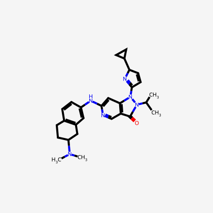 CC(C)n1c(=O)c2cnc(Nc3ccc4c(c3)CC(N(C)C)CC4)cc2n1C1=NC(C2CC2)C=C1